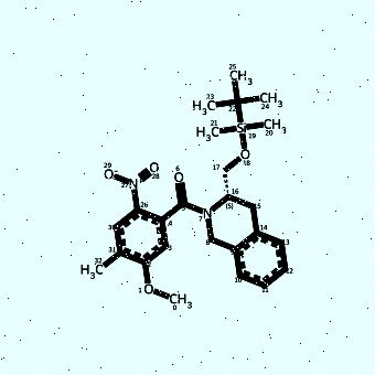 COc1cc(C(=O)N2Cc3ccccc3C[C@H]2CO[Si](C)(C)C(C)(C)C)c([N+](=O)[O-])cc1C